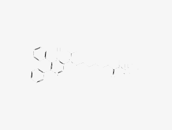 CC(C)N(CCCCOCC(=O)N[SH](C)(=O)P)c1cnc(-c2ccccc2)c(-c2ccccc2)n1